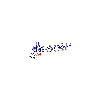 Oc1ccccc1-c1cc2c(nn1)NCC1CN(C3CC4(C3)CN(C3CCN(C5CC6(CNC6)C5)CC3)C4)CCN21